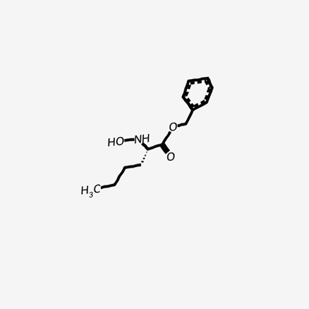 CCCC[C@H](NO)C(=O)OCc1ccccc1